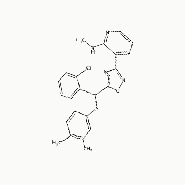 CNc1ncccc1-c1noc(C(Sc2ccc(C)c(C)c2)c2ccccc2Cl)n1